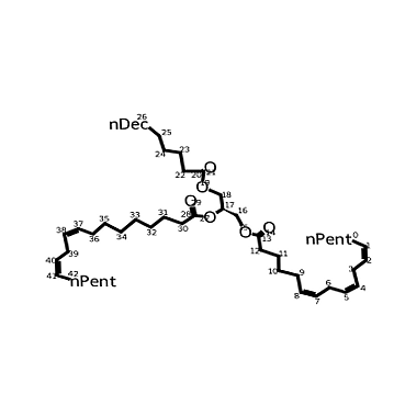 CCCCC/C=C\C/C=C\C/C=C\CCCCC(=O)OC[C@H](COC(=O)CCCCCCCCCCCCCC)OC(=O)CCCCCCC/C=C\C/C=C\CCCCC